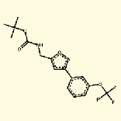 CC(C)(C)OC(=O)NCc1cc(-c2cccc(OC(F)(F)F)c2)no1